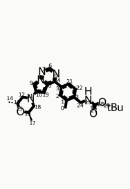 Cc1cc(-c2ncnn3cc(N4C[C@@H](C)O[C@H](C)C4)cc23)ccc1CNC(=O)OC(C)(C)C